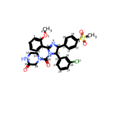 COc1ccccc1C1=NC(c2ccc(S(C)(=O)=O)cc2)C(c2cccc(Cl)c2)N1C(=O)N1CCNC(=O)C1